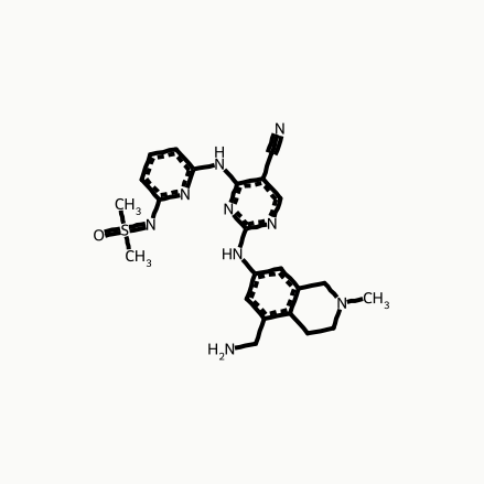 CN1CCc2c(CN)cc(Nc3ncc(C#N)c(Nc4cccc(N=S(C)(C)=O)n4)n3)cc2C1